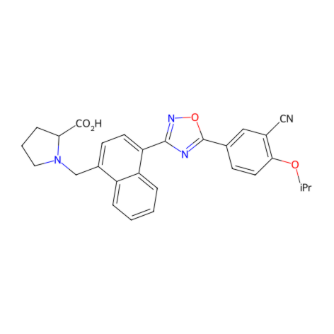 CC(C)Oc1ccc(-c2nc(-c3ccc(CN4CCCC4C(=O)O)c4ccccc34)no2)cc1C#N